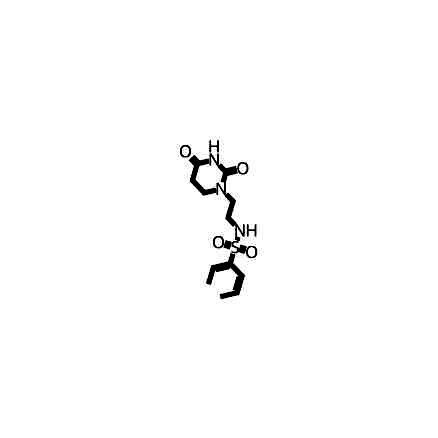 C/C=C\C(=C/C)S(=O)(=O)NCCN1CCC(=O)NC1=O